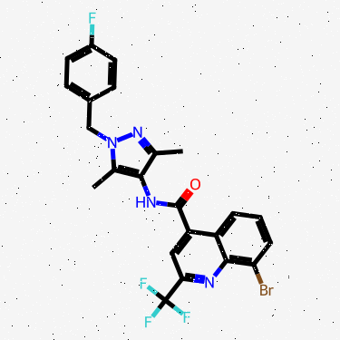 Cc1nn(Cc2ccc(F)cc2)c(C)c1NC(=O)c1cc(C(F)(F)F)nc2c(Br)cccc12